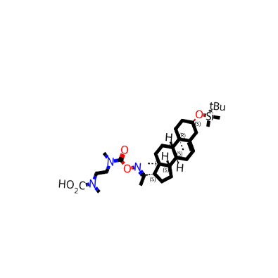 CC(=NOC(=O)N(C)CCN(C)C(=O)O)[C@H]1CC[C@H]2[C@@H]3CC=C4C[C@@H](O[Si](C)(C)C(C)(C)C)CC[C@]4(C)[C@H]3CC[C@]12C